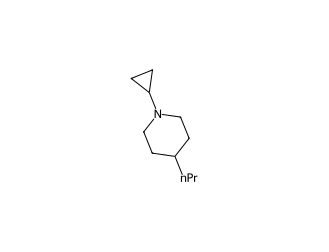 CCCC1CCN(C2CC2)CC1